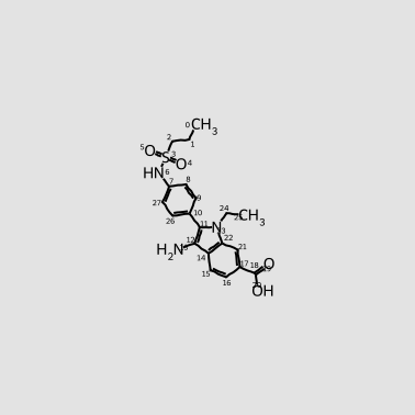 CCCS(=O)(=O)Nc1ccc(-c2c(N)c3ccc(C(=O)O)cc3n2CC)cc1